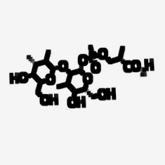 CC1[C@H](O[C@@H]2C(C)C(O)[C@@H](CO)O[C@H]2OP(C)(=O)OC[C@H](C)C(=O)O)OC(CO)[C@@H](O)[C@@H]1C